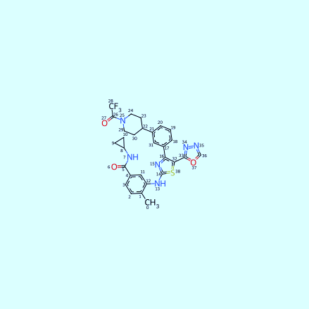 Cc1ccc(C(=O)NC2CC2)cc1Nc1nc(-c2cccc(C3CCN(C(=O)C(F)(F)F)CC3)c2)c(-c2nnco2)s1